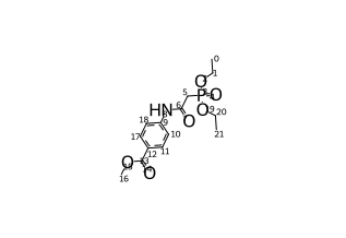 CCOP(=O)(CC(=O)Nc1ccc(C(=O)OC)cc1)OCC